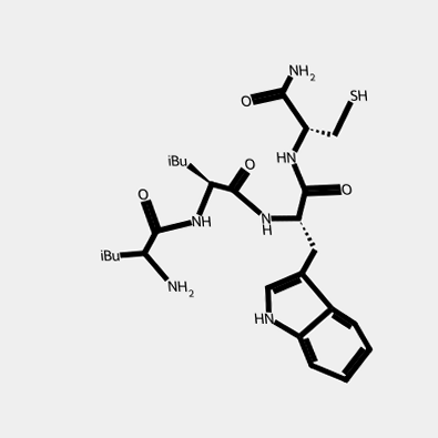 CCC(C)C(N)C(=O)N[C@H](C(=O)N[C@@H](Cc1c[nH]c2ccccc12)C(=O)N[C@@H](CS)C(N)=O)C(C)CC